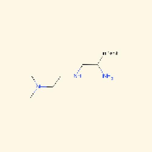 CCCCCC(N)CNCCN(C)C